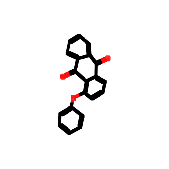 O=C1c2ccccc2C(=O)c2c(Oc3ccccc3)cccc21